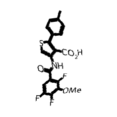 COc1c(F)c(F)cc(C(=O)Nc2csc(-c3ccc(C)cc3)c2C(=O)O)c1F